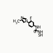 Cc1cn(-c2ccc(NC(=O)NS)cc2F)cn1